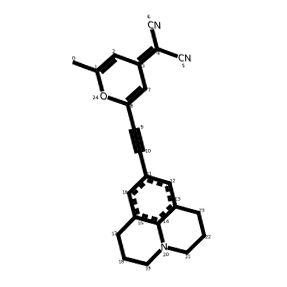 CC1=CC(=C(C#N)C#N)C=C(C#Cc2cc3c4c(c2)CCCN4CCC3)O1